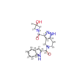 CC1(O)CN(C(=O)c2n[nH]c3c2CN(C(=O)c2cc4ccccc4[nH]2)CC3)C1